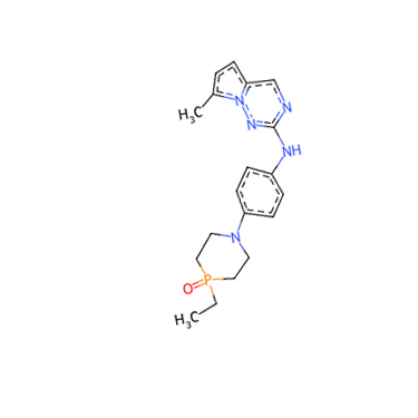 CCP1(=O)CCN(c2ccc(Nc3ncc4ccc(C)n4n3)cc2)CC1